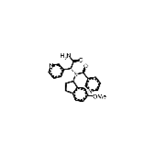 COc1ccc2c(c1)[C@H](N(C(=O)c1cccnc1)[C@@H](C(N)=O)c1cccnc1)CC2